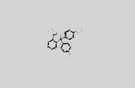 Cc1ccc(C2(c3ccc(C)cc3)NC(=O)c3ccccc32)cc1